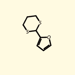 c1coc(C2SCCCS2)c1